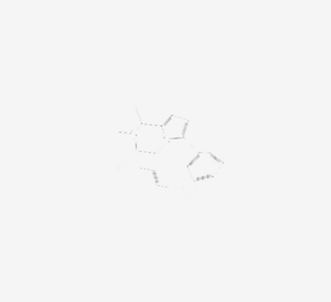 CC1c2ccc(-c3ccccc3)n2CCN1C.O=C(O)/C=C/C(=O)O